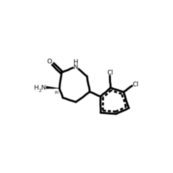 N[C@@H]1CCC(c2cccc(Cl)c2Cl)CNC1=O